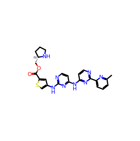 Cc1cccc(-c2nccc(Nc3ccnc(Nc4csc(C(=O)OC[C@@H]5CCCN5)c4)n3)n2)n1